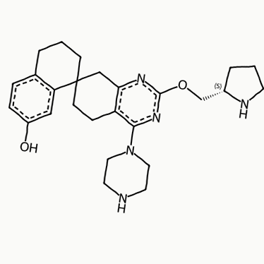 Oc1ccc2c(c1)C1(CCC2)CCc2c(nc(OC[C@@H]3CCCN3)nc2N2CCNCC2)C1